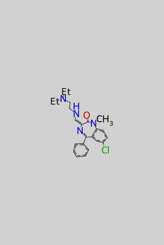 CCN(CC)CCNC=C1N=C(c2ccccc2)c2cc(Cl)ccc2N(C)C1=O